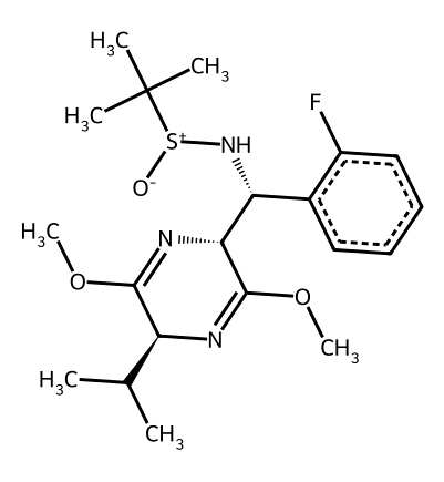 COC1=N[C@H]([C@H](N[S+]([O-])C(C)(C)C)c2ccccc2F)C(OC)=N[C@H]1C(C)C